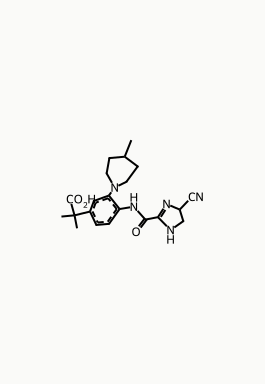 CC1CCN(c2cc(C(C)(C)C(=O)O)ccc2NC(=O)C2=NC(C#N)CN2)CC1